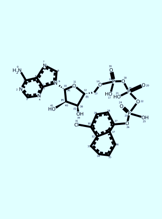 Nc1ncnc2c1ncn2[C@@H]1O[C@H](COP(=O)(O)OP(=O)(O)OP(=O)(O)Oc2ccc(Cl)c3ccccc23)[C@@H](O)[C@H]1O